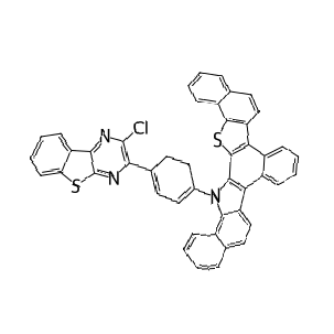 Clc1nc2c(nc1C1=CC=C(n3c4c5ccccc5ccc4c4c5ccccc5c5c6ccc7ccccc7c6sc5c43)CC1)sc1ccccc12